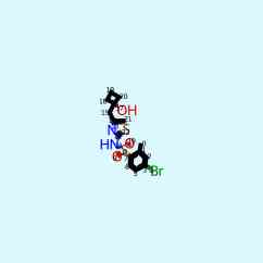 Cc1cc(Br)ccc1S(=O)(=O)Nc1nc(CC2(O)CCC2)cs1